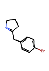 Brc1ccc(CC2=NCCC2)cc1